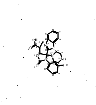 CC(C(N)=O)C1OC(=O)N(c2cccc(F)c2)C1(c1nc2ccccc2o1)N1CCNCC1